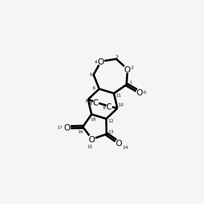 O=C1OCOCC2C3CCC(C12)C1C(=O)OC(=O)C31